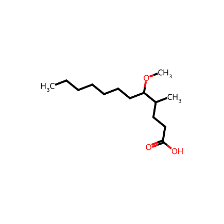 CCCCCCCC(OC)C(C)CCC(=O)O